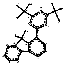 CC(C)(C)c1nc(-c2cccc3c2C(C)(C)c2ccccc2-3)nc(C(C)(C)C)n1